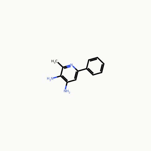 Cc1nc(-c2ccccc2)cc(N)c1N